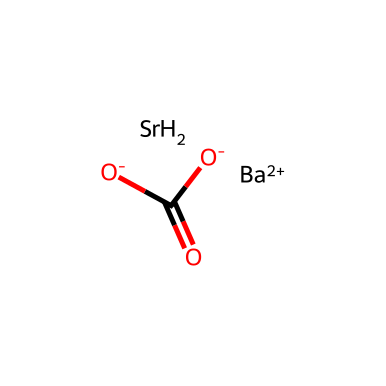 O=C([O-])[O-].[Ba+2].[SrH2]